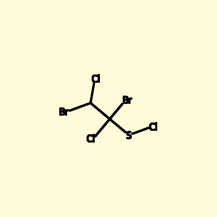 ClSC(Cl)(Br)C(Cl)Br